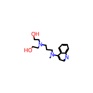 CN(CCCN(CCO)CCO)c1ccnc2ccccc12